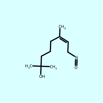 CC(=CCN=O)CCCC(C)(C)O